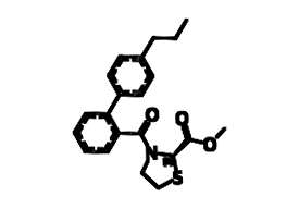 CCCc1ccc(-c2ccccc2C(=O)N2CCS[C@@H]2C(=O)OC)cc1